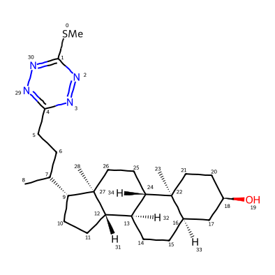 CSc1nnc(CCC(C)[C@H]2CC[C@H]3[C@@H]4CC[C@@H]5C[C@H](O)CC[C@]5(C)[C@H]4CC[C@]23C)nn1